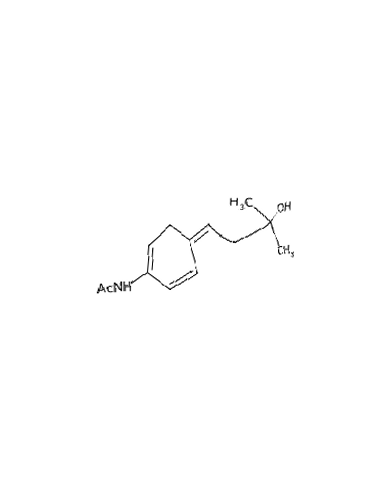 CC(=O)NC1=CCC(=CCC(C)(C)O)C=C1